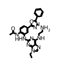 CCn1cnc2c(NCCN)nc(Nc3cc(-c4nnc(-c5ccccc5)o4)ccc3NC(C)=O)nc21